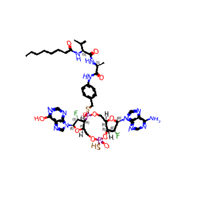 CCCCCCCC(=O)N[C@H](C(=O)N[C@@H](C)C(=O)Nc1ccc(CSP2(=O)OC[C@H]3O[C@@H](n4cnc5c(N)ncnc54)[C@H](F)[C@@H]3OP(=O)(S)OC[C@H]3O[C@@H](n4cnc5c(O)ncnc54)[C@H](F)[C@@H]32)cc1)C(C)C